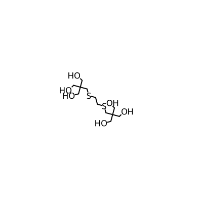 OCC(CO)(CO)CSCCSCC(CO)(CO)CO